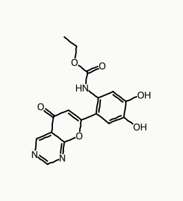 CCOC(=O)Nc1cc(O)c(O)cc1-c1cc(=O)c2cncnc2o1